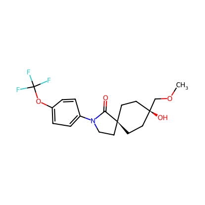 COC[C@]1(O)CC[C@]2(CCN(c3ccc(OC(F)(F)F)cc3)C2=O)CC1